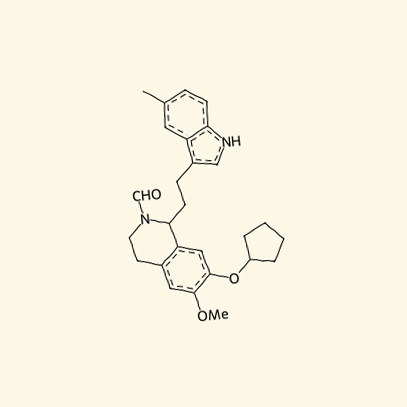 COc1cc2c(cc1OC1CCCC1)C(CCc1c[nH]c3ccc(C)cc13)N(C=O)CC2